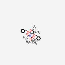 CC(=O)N(C(=O)OC(C)(C)C)[C@@H]1C(OCc2ccccc2)O[C@H](C)[C@H](C)[C@H]1OCc1ccccc1